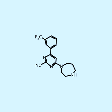 N#Cc1nc(-c2cccc(C(F)(F)F)c2)cc(N2CCCNCC2)n1